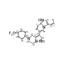 C/C=C\C1=CNC2C=CC(C3=C4CN(c5ccc(C(F)(F)F)cc5)CCN4NC3)=CN12